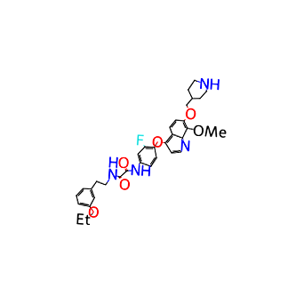 CCOc1cccc(CCNC(=O)C(=O)Nc2ccc(Oc3ccnc4c(OC)c(OCC5CCNCC5)ccc34)c(F)c2)c1